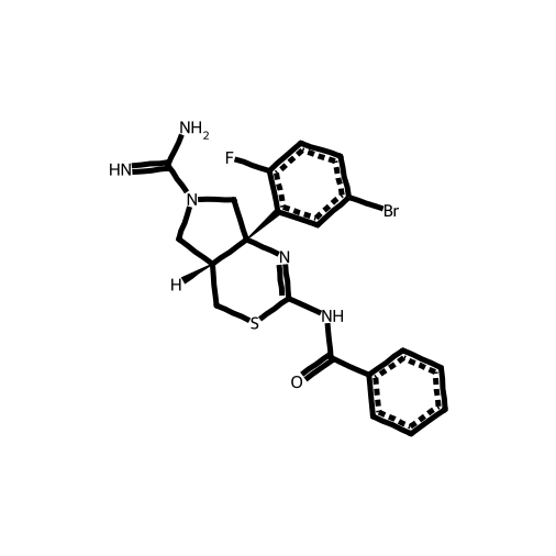 N=C(N)N1C[C@H]2CSC(NC(=O)c3ccccc3)=N[C@@]2(c2cc(Br)ccc2F)C1